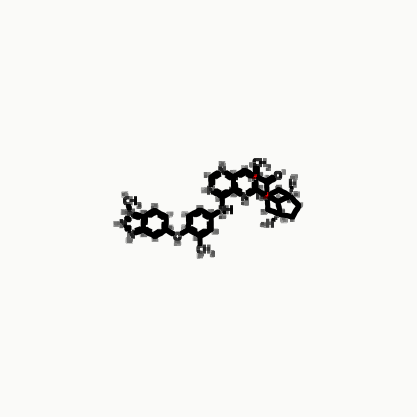 C=CC(=O)NC1[C@@H]2CC[C@H]1CN(c1ncc3ncnc(Nc4ccc(Oc5ccc6c(c5)nnn6C)c(C)c4)c3n1)C2